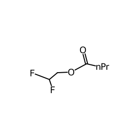 CCCC(=O)OCC(F)F